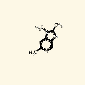 Cc1cc2c(cn1)nc(C)n2C